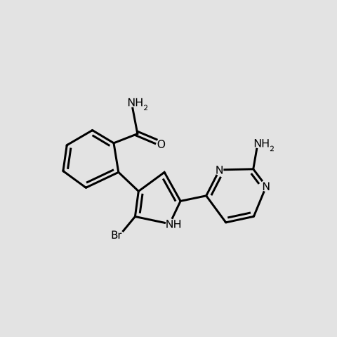 NC(=O)c1ccccc1-c1cc(-c2ccnc(N)n2)[nH]c1Br